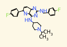 CC(C)N1CCC(Nc2nc(NCc3ccc(F)cc3)nc3ccc(-c4ccc(F)cc4)nc23)CC1